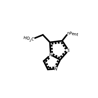 CCCCCc1sc2nccn2c1CC(=O)O